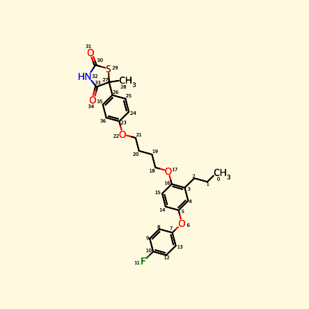 CCCc1cc(Oc2ccc(F)cc2)ccc1OCCCCOc1ccc(C2(C)SC(=O)NC2=O)cc1